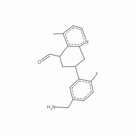 Cc1ccnc2c1C(C=O)CC(c1cc(CN)ccc1F)C2